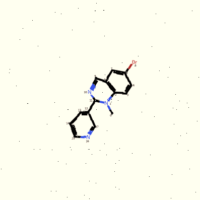 CN1c2ccc(Br)cc2C=NC1c1cccnc1